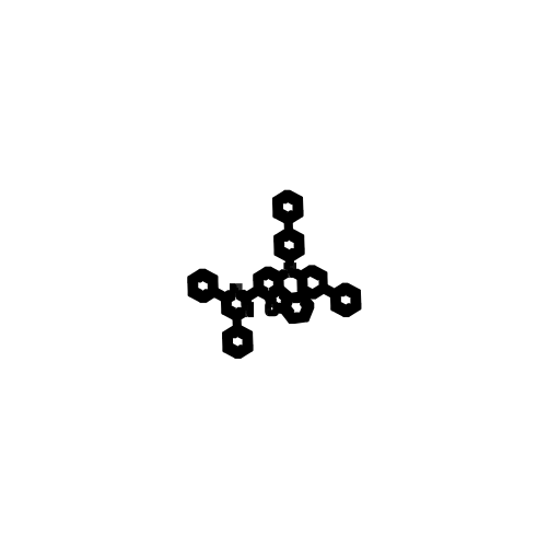 C1=CC(c2ccccc2)CC=C1N(c1ccc(-c2ccccc2)cc1)c1ccc(-c2nc(-c3ccccc3)cc(-c3ccccc3)n2)c2oc3ccccc3c12